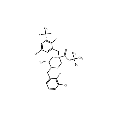 C[C@@H]1C[C@](Cc2nc(Cl)cc(C(C)(F)F)c2F)(C(=O)OC(C)(C)C)CCN1Cc1cccc(Cl)c1F